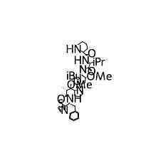 CC[C@H](C)[C@@H]([C@@H](CC(=O)N1CCCC1[C@H](OC)[C@@H](C)C(=O)N[C@@H](Cc1ccccc1)c1nccs1)OC)N(C)C(=O)[C@@H](NC(=O)[C@]1(C)CCCCN1)C(C)C